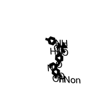 CCCCCCCCCOc1cc2c(Oc3ccc(NC(=O)C4(C(=O)Nc5ccc(C)cc5)CC4)cc3)ccnc2cc1O